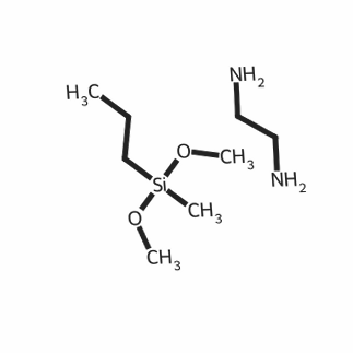 CCC[Si](C)(OC)OC.NCCN